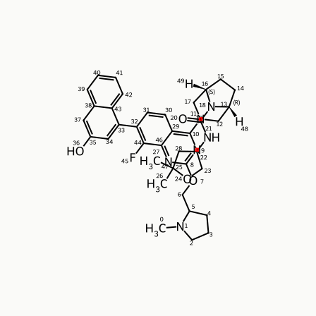 CN1CCCC1COc1nc(N2C[C@H]3CC[C@@H](C2)N3C(=O)NC2COC(C)(C)C2)c2ccc(-c3cc(O)cc4ccccc34)c(F)c2n1